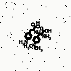 CN(C)c1ccc(C[C@H](N)C(=O)O)cc1.Nc1ccc(C[C@H](N)C(=O)O)cc1